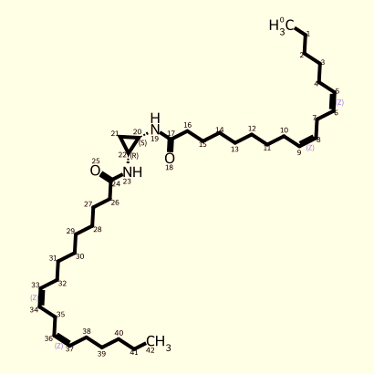 CCCCC/C=C\C/C=C\CCCCCCCC(=O)N[C@H]1C[C@H]1NC(=O)CCCCCCC/C=C\C/C=C\CCCCC